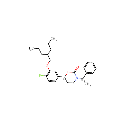 CCCC(CCC)COc1cc([C@@H]2CCN([C@@H](C)c3ccccc3)C(=O)O2)ccc1F